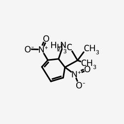 CC(C)(C)C1([N+](=O)[O-])C=CC=C([N+](=O)[O-])C1N